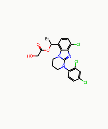 CCC(OC(=O)CO)c1ccc(Cl)c2nc3n(c12)CCCN3c1ccc(Cl)cc1Cl